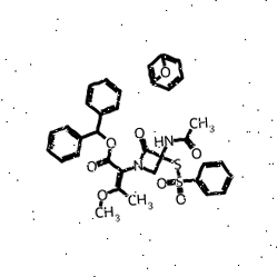 COC(C)=C(C(=O)OC(c1ccccc1)c1ccccc1)N1CC(NC(C)=O)(SS(=O)(=O)c2ccccc2)C1=O.c1cc2cc(c1)O2